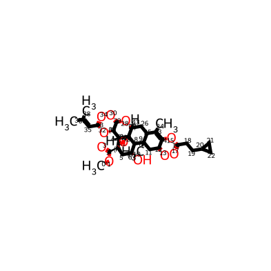 COC(=O)[C@@]12C[C@H](O)C3[C@@]4(C)CC(=O)C(OC(=O)CCC5CC5)=C(C)C4C[C@H]4OC(=O)[C@H](OC(=O)C=C(C)C)[C@@H]1[C@@]34CO2